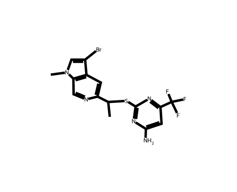 CC(Sc1nc(N)cc(C(F)(F)F)n1)c1cc2c(Br)cn(C)c2cn1